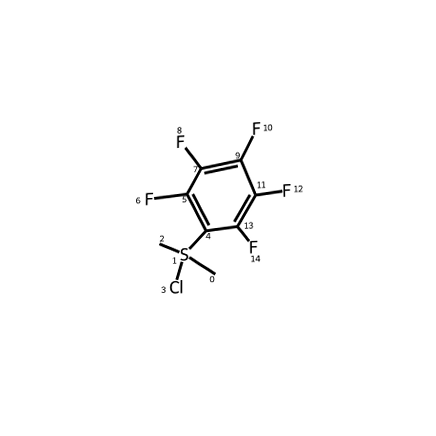 CS(C)(Cl)c1c(F)c(F)c(F)c(F)c1F